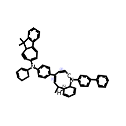 CC1/C=C(c2ccc(N(C3=CC=C4c5ccccc5C(C)(C)C4C#C3)C3=CC=CCC3)cc2)\C=C/CN(c2ccc(-c3ccccc3)cc2)C2C=CC=C[C@H]12